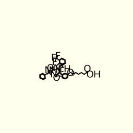 Cc1c(-c2cccc(OCCCCCC(=O)O)c2)c(=O)n(C[C@H](N)c2ccccc2)c(=O)n1Cc1c(F)cccc1C(F)(F)F